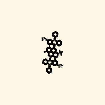 Cc1cc2c3c(cc4c([Si](C)(C)C)cc5c6c(cc1c3c46)B1c3ccccc3N(c3ccccc3)c3cc(C(C)C)cc-5c31)B1c3ccccc3N(c3ccccc3)c3cc(C(C)C)cc-2c31